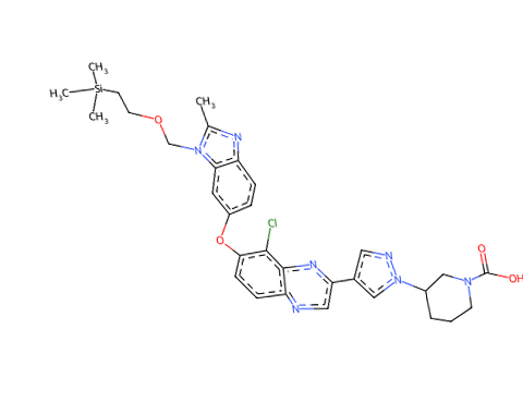 Cc1nc2ccc(Oc3ccc4ncc(-c5cnn(C6CCCN(C(=O)O)C6)c5)nc4c3Cl)cc2n1COCC[Si](C)(C)C